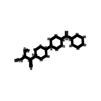 CCCC(CCC)C(=O)N1CCC(N2CCC(NC3CCCCC3)CC2)CC1